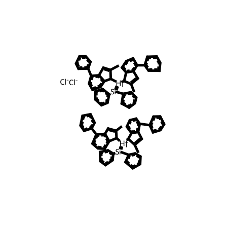 CC1=Cc2c(-c3ccccc3)cccc2[CH]1[Hf]([CH]1C(C)=Cc2c(-c3ccccc3)cccc21)=[Si](c1ccccc1)c1ccccc1.CC1=Cc2c(-c3ccccc3)cccc2[CH]1[Hf]([CH]1C(C)=Cc2c(-c3ccccc3)cccc21)=[Si](c1ccccc1)c1ccccc1.[Cl-].[Cl-]